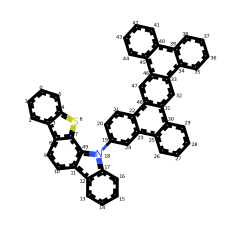 c1ccc2c(c1)sc1c2ccc2c3ccccc3n(-c3ccc4c(c3)c3ccccc3c3cc5c6ccccc6c6ccccc6c5cc43)c21